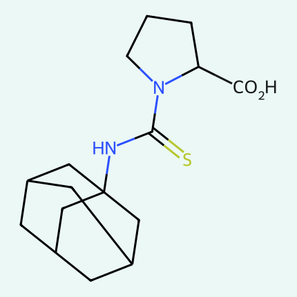 O=C(O)C1CCCN1C(=S)NC12CC3CC(CC(C3)C1)C2